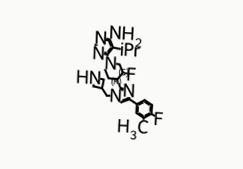 Cc1cc(-c2cn(CC3CNC3)c([C@H]3CCN(c4ncnc(N)c4C(C)C)C[C@H]3F)n2)ccc1F